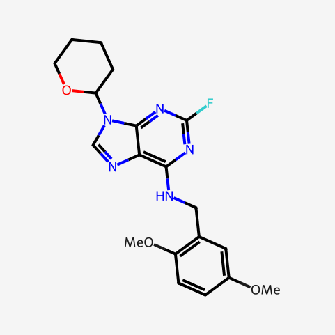 COc1ccc(OC)c(CNc2nc(F)nc3c2ncn3C2CCCCO2)c1